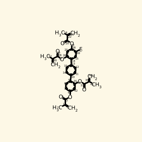 C=C(C)C(=O)Oc1ccc(-c2ccc(-c3cc(F)c(OC(=O)C(=C)C)cc3OC(=O)C(=C)C)cc2)c(OC(=O)C(=C)C)c1